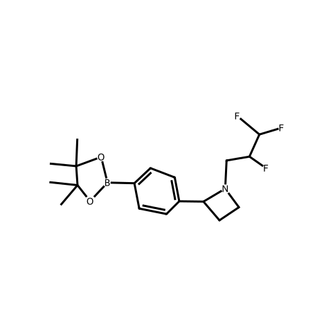 CC1(C)OB(c2ccc(C3CCN3CC(F)C(F)F)cc2)OC1(C)C